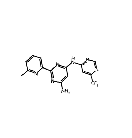 Cc1cccc(-c2nc(N)cc(Nc3cc(C(F)(F)F)ncn3)n2)n1